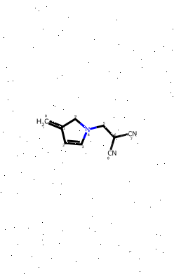 C=C1C=CN(CC(C#N)C#N)C1